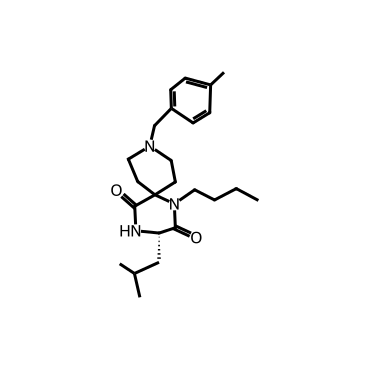 CCCCN1C(=O)[C@H](CC(C)C)NC(=O)C12CCN(Cc1ccc(C)cc1)CC2